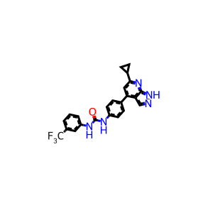 O=C(Nc1ccc(-c2cc(C3CC3)nc3[nH]ncc23)cc1)Nc1cccc(C(F)(F)F)c1